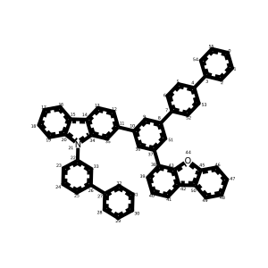 c1ccc(-c2ccc(-c3cc(-c4ccc5c6ccccc6n(-c6cccc(-c7ccccc7)c6)c5c4)cc(-c4cccc5c4oc4ccccc45)c3)cc2)cc1